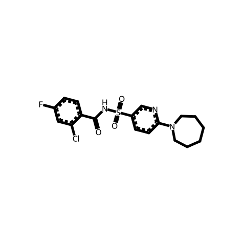 O=C(NS(=O)(=O)c1ccc(N2CCCCCC2)nc1)c1ccc(F)cc1Cl